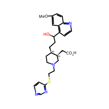 COc1ccc2nccc(C(O)CC[C@@H]3CCN(CCSc4ccncn4)C[C@@H]3CC(=O)O)c2c1